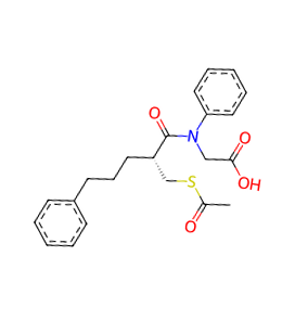 CC(=O)SC[C@H](CCCc1ccccc1)C(=O)N(CC(=O)O)c1ccccc1